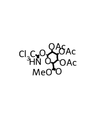 COC(=O)C1O[C@H](OC(=N)C(Cl)(Cl)Cl)C(OC(C)=O)C(OC(C)=O)[C@@H]1OC(C)=O